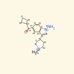 CN1CCC(c2cn(N)c3ccc(C(=O)C4CCC4)cc23)CC1